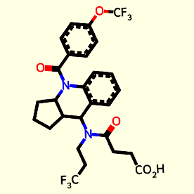 O=C(O)CCC(=O)N(CCC(F)(F)F)C1c2ccccc2N(C(=O)c2ccc(OC(F)(F)F)cc2)C2CCCC12